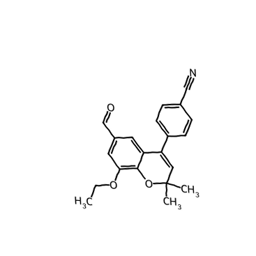 CCOc1cc(C=O)cc2c1OC(C)(C)C=C2c1ccc(C#N)cc1